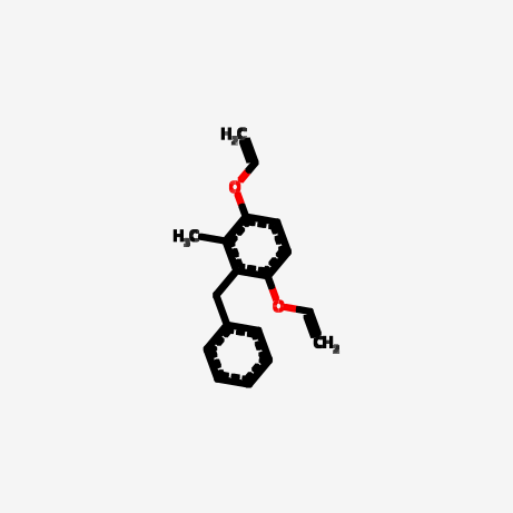 C=COc1ccc(OC=C)c(Cc2ccccc2)c1C